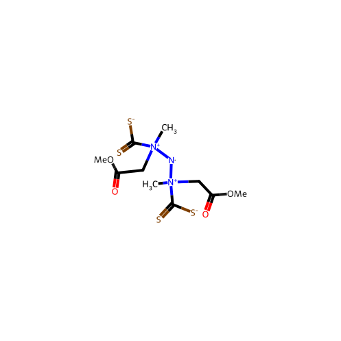 COC(=O)C[N+](C)([N][N+](C)(CC(=O)OC)C(=S)[S-])C(=S)[S-]